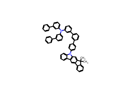 CC1(C)c2ccccc2-c2cc3c4ccccc4n(-c4ccc(-c5cccc(-c6cccc(N(c7cccc(-c8ccccc8)c7)c7cccc(-c8ccccc8)c7)c6)c5)cc4)c3cc21